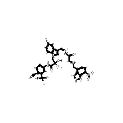 C[C@](O)(Cn1cc(/C=N\NC(=O)CNCc2ccc([N+](=O)[O-])c3nonc23)c2cc(F)ccc21)C(=O)Nc1ccc(C#N)c(C(F)(F)F)c1